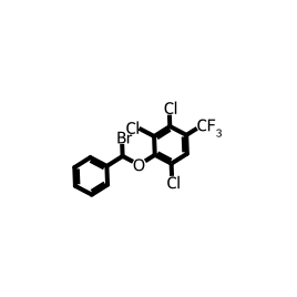 FC(F)(F)c1cc(Cl)c(OC(Br)c2ccccc2)c(Cl)c1Cl